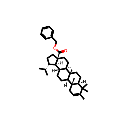 CC1=CC[C@]2(C)[C@H]3CC[C@@H]4[C@H]5[C@H](C(C)C)CC[C@]5(C(=O)OCc5ccccc5)CC[C@@]4(C)[C@]3(C)CC[C@H]2C1(C)C